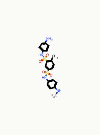 CNc1ccc(NS(=O)(=O)c2ccc(C)c(S(=O)(=O)Nc3ccc(N)cc3)c2)cc1